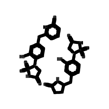 O=C1CCC(Cc2ccc(N3CC(=O)NS3(=O)=O)c(O)c2)N1.O=C1CN(c2ccc(Cc3cccc(=O)[nH]3)cc2O)S(=O)(=O)N1